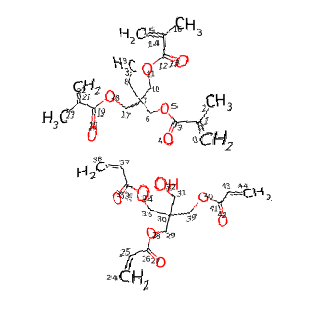 C=C(C)C(=O)OCC(CC)(COC(=O)C(=C)C)COC(=O)C(=C)C.C=CC(=O)OCC(CO)(COC(=O)C=C)COC(=O)C=C